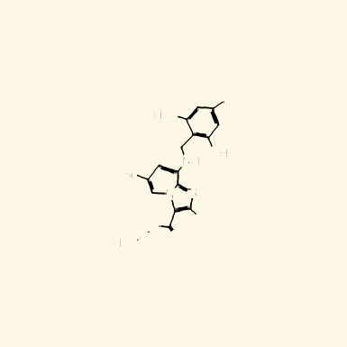 CCOC(=O)c1c(C)nc2c(NCc3c(C)cc(F)cc3C)cc(Br)cn12